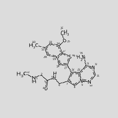 CNCC(=O)NCc1cn2ncnc(N)c2c1-c1cc2cc(C)cc(OC)c2s1